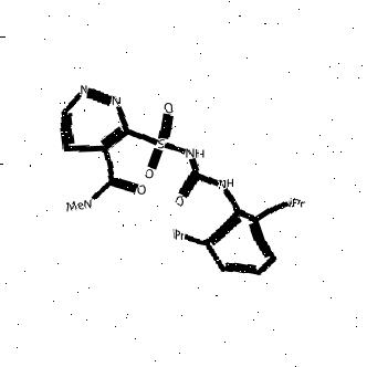 CNC(=O)c1ccnnc1S(=O)(=O)NC(=O)Nc1c(C(C)C)cccc1C(C)C